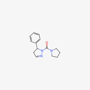 O=C(N1CCCC1)N1N=CCC1c1ccccc1